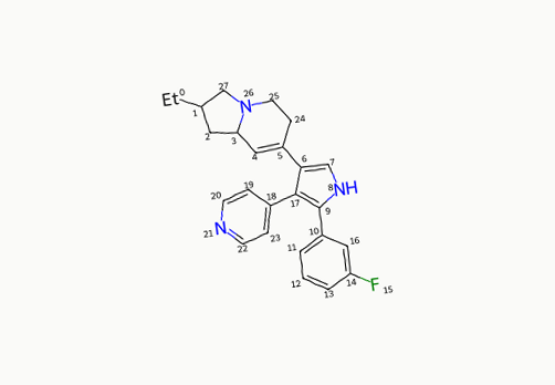 CCC1CC2C=C(c3c[nH]c(-c4cccc(F)c4)c3-c3ccncc3)CCN2C1